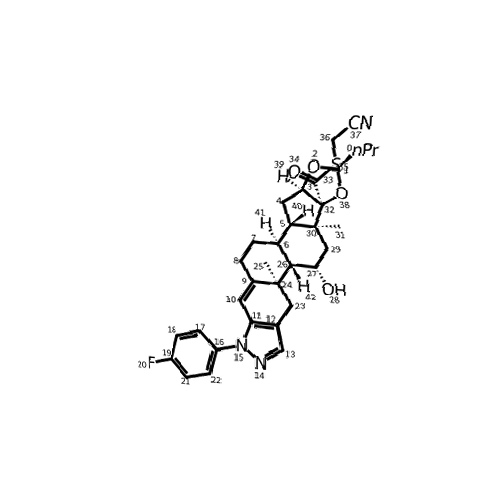 CCC[C@@H]1O[C@@H]2C[C@H]3[C@@H]4CCC5=Cc6c(cnn6-c6ccc(F)cc6)C[C@]5(C)[C@H]4[C@@H](O)C[C@]3(C)[C@]2(C(=O)SCC#N)O1